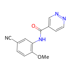 COc1ccc(C#N)cc1NC(=O)c1ccnnc1